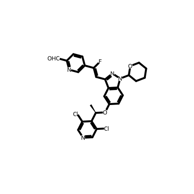 C[C@@H](Oc1ccc2c(c1)c(/C=C(\F)c1ccc(C=O)nc1)nn2C1CCCCO1)c1c(Cl)cncc1Cl